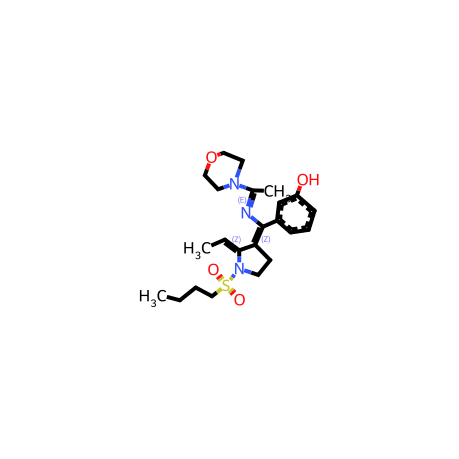 C/C=C1/C(=C(\N=C(/C)N2CCOCC2)c2cccc(O)c2)CCN1S(=O)(=O)CCCC